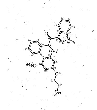 COc1cc(NC(C(=O)c2nn(C)c3ccccc23)c2ccccc2)cc(OCCO)c1